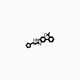 CC(=O)c1ccccc1-c1ccc2[nH]c(/C=C/C3CCCC3)nc2c1